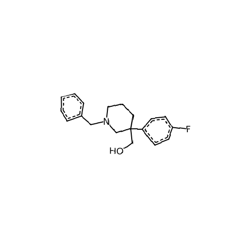 OCC1(c2ccc(F)cc2)CCCN(Cc2ccccc2)C1